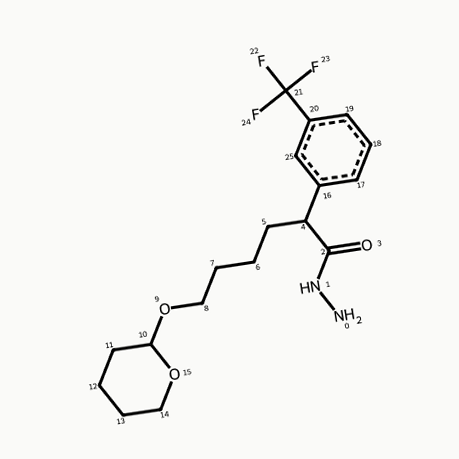 NNC(=O)C(CCCCOC1CCCCO1)c1cccc(C(F)(F)F)c1